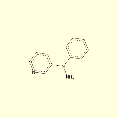 NN(c1ccccc1)c1cccnc1